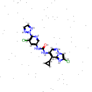 O=C(Nc1cnc(-n2nccn2)c(Cl)c1)Nc1cnn2cc(Cl)nc2c1C1CC1